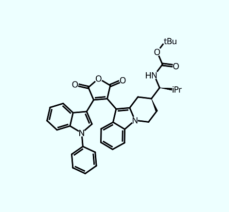 CC(C)[C@H](NC(=O)OC(C)(C)C)[C@H]1CCn2c(c(C3=C(c4cn(-c5ccccc5)c5ccccc45)C(=O)OC3=O)c3ccccc32)C1